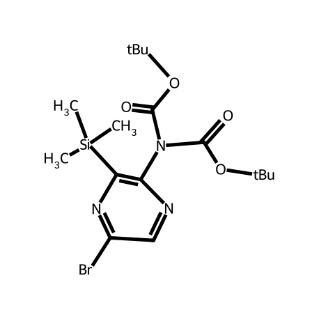 CC(C)(C)OC(=O)N(C(=O)OC(C)(C)C)c1ncc(Br)nc1[Si](C)(C)C